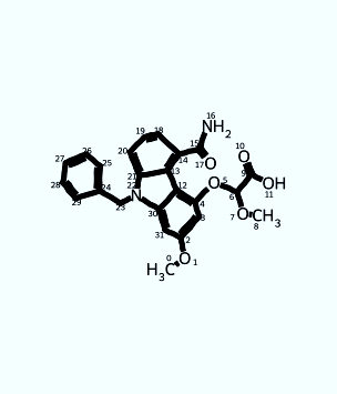 COc1cc(OC(OC)C(=O)O)c2c3c(C(N)=O)cccc3n(Cc3ccccc3)c2c1